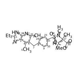 CCc1nc2c(C)c(Cc3ccc(S(=O)(=O)N(C)C(C)(C)C(=O)OC)cc3)c(C)nc2[nH]1